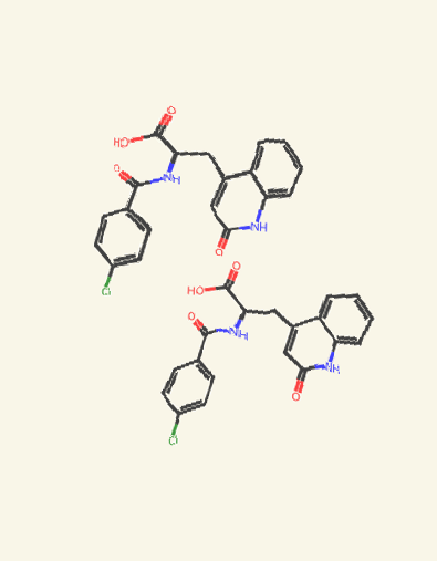 O=C(NC(Cc1cc(=O)[nH]c2ccccc12)C(=O)O)c1ccc(Cl)cc1.O=C(NC(Cc1cc(=O)[nH]c2ccccc12)C(=O)O)c1ccc(Cl)cc1